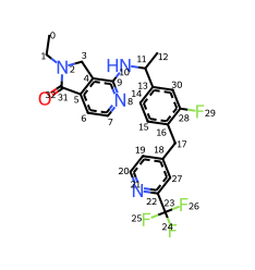 CCN1Cc2c(ccnc2NC(C)c2ccc(Cc3ccnc(C(F)(F)F)c3)c(F)c2)C1=O